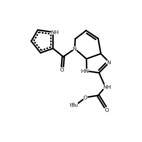 CC(C)(C)OC(=O)NC1=NC2C=CCN(C(=O)c3ccc[nH]3)C2N1